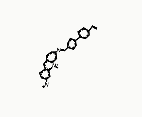 C=Cc1ccc(-c2ccc(C=Nc3ccc4cc5ccc(N=C)cc5[n+](C)c4c3)cc2)cc1